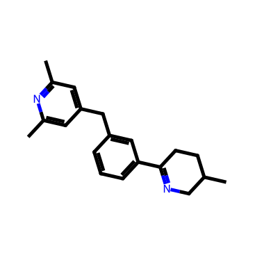 Cc1cc(Cc2cccc(C3=NCC(C)CC3)c2)cc(C)n1